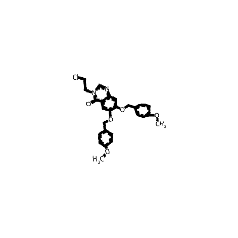 COc1ccc(COc2cc3ncn(CCCl)c(=O)c3cc2OCc2ccc(OC)cc2)cc1